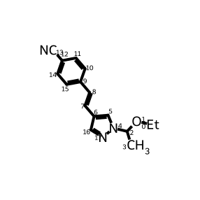 CCOC(C)n1cc(C=Cc2ccc(C#N)cc2)cn1